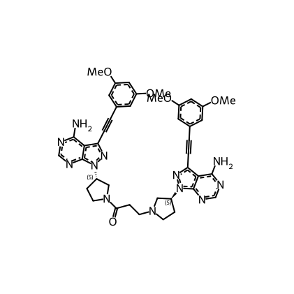 COc1cc(C#Cc2nn([C@H]3CCN(CCC(=O)N4CC[C@H](n5nc(C#Cc6cc(OC)cc(OC)c6)c6c(N)ncnc65)C4)C3)c3ncnc(N)c23)cc(OC)c1